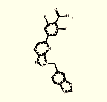 NC(=O)c1c(F)cc(-c2ccc3nnn(Cc4ccc5ncsc5c4)c3n2)cc1F